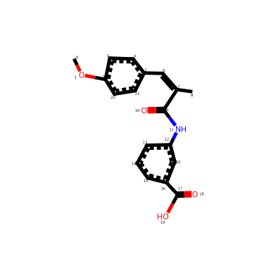 COc1ccc(C=C(C)C(=O)Nc2cccc(C(=O)O)c2)cc1